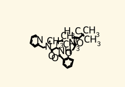 CC(C)C[C@@H](NC(=O)c1ccccc1OCc1ncc(C(C)(C)C)o1)C(=O)N(C)Cc1ccccn1